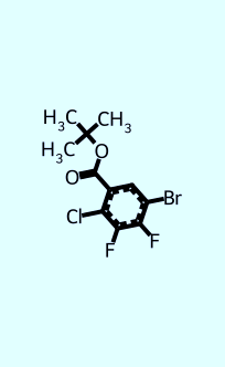 CC(C)(C)OC(=O)c1cc(Br)c(F)c(F)c1Cl